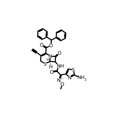 C#CC1=C(C(=O)OC(c2ccccc2)c2ccccc2)N2C(=O)C(NC(=O)/C(=N/OC)c3csc(N)n3)[C@H]2SC1